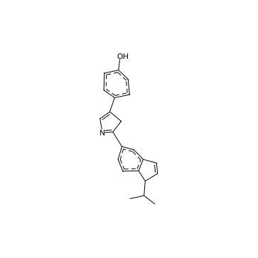 CC(C)C1C=Cc2cc(C3=NC=C(c4ccc(O)cc4)C3)ccc21